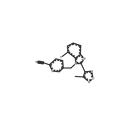 Cc1nonc1-c1nc2cccc(F)c2n1Cc1ccc(C#N)nc1